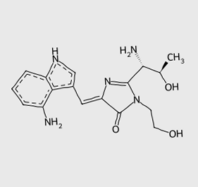 C[C@@H](O)[C@@H](N)C1=N/C(=C\c2c[nH]c3cccc(N)c23)C(=O)N1CCO